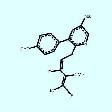 CCCCc1cnc(C/C=C(F)\C(OC)=C(\F)CC)c(-c2ccc(C=O)cc2)c1